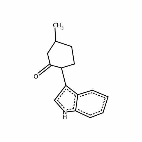 CC1CCC(c2c[nH]c3ccccc23)C(=O)C1